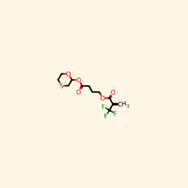 C=C(C(=O)OCCCC(=O)OC1CSCCO1)C(F)(F)F